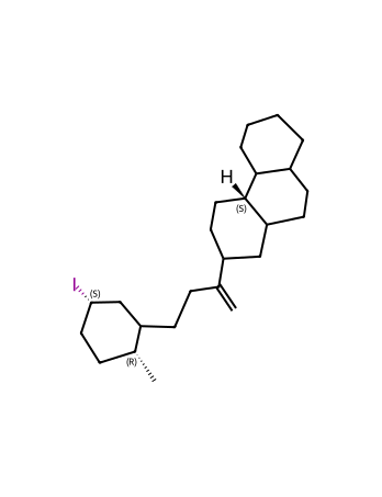 C=C(CCC1C[C@@H](I)CC[C@H]1C)C1CC[C@H]2C(CCC3CCCCC32)C1